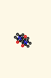 c1cc2c(N(c3cc(C4CCCCC4)cc(C4CCCCC4)c3)c3cc(C4CCCCC4)cc(C4CCCCC4)c3)c3cc(C4CCCCC4)ccc3c(-c3c4cc(C5CCCCC5)ccc4c(N(c4cc(C5CCCCC5)cc(C5CCCCC5)c4)c4cc(C5CCCCC5)cc(C5CCCCC5)c4)c4cc(C5CCCCC5)ccc34)c2cc1C1CCCCC1